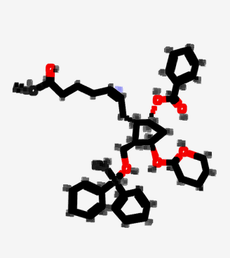 COC(=O)CCC/C=C\C[C@H]1[C@H](CO[Si](c2ccccc2)(c2ccccc2)C(C)(C)C)[C@H](OC2CCCCO2)C[C@H]1OC(=O)c1ccccc1